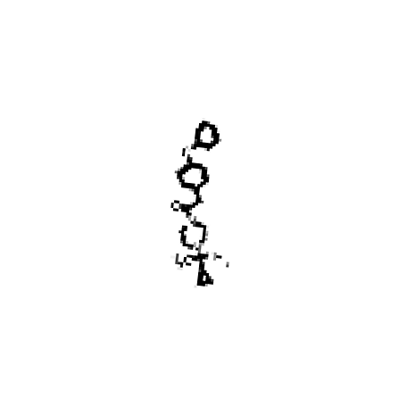 CC(C)(C1CC1)N1CCN(C(=O)Cc2ccc(Oc3ccccc3)cc2)CC1